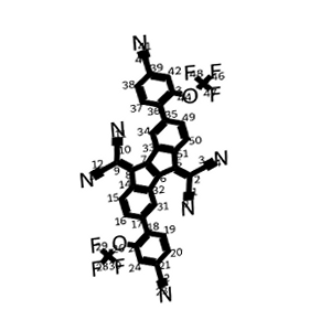 N#CC(C#N)=C1C2=C(C(=C(C#N)C#N)c3ccc(-c4ccc(C#N)cc4OC(F)(F)F)cc32)c2cc(-c3ccc(C#N)cc3OC(F)(F)F)ccc21